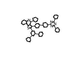 c1ccc(-c2cc(-c3ccccc3)cc(-c3sc4c(c(-c5ccccc5)nc5ccccc54)c3-c3ccc(-c4ccc(-c5nc(-c6ccccc6)nc(-c6ccccc6)n5)cc4)cc3)c2)cc1